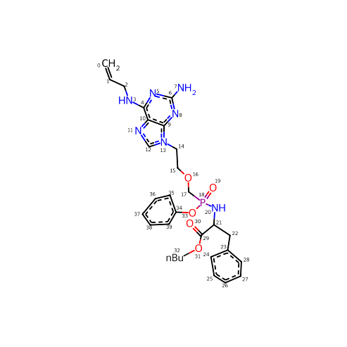 C=CCNc1nc(N)nc2c1ncn2CCOCP(=O)(NC(Cc1ccccc1)C(=O)OCCCC)Oc1ccccc1